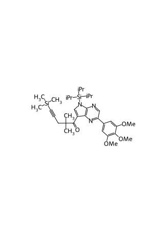 COc1cc(-c2cnc3c(n2)c(C(=O)C(C)(C)CC#C[Si](C)(C)C)cn3[Si](C(C)C)(C(C)C)C(C)C)cc(OC)c1OC